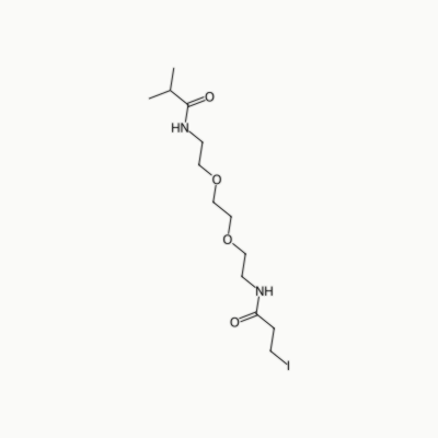 CC(C)C(=O)NCCOCCOCCNC(=O)CCI